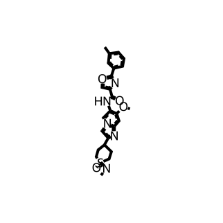 CN=S1(=O)CCC(c2cn3cc(NC(=O)c4coc(-c5cccc(C)c5)n4)c(OC)cc3n2)CC1